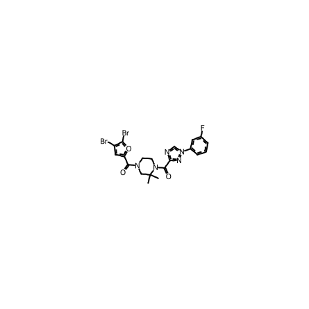 CC1(C)CN(C(=O)c2cc(Br)c(Br)o2)CCN1C(=O)c1ncn(-c2cccc(F)c2)n1